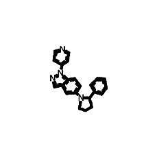 c1ccc(C2CCCN2c2ccc3c(cnn3-c3ccncc3)c2)cc1